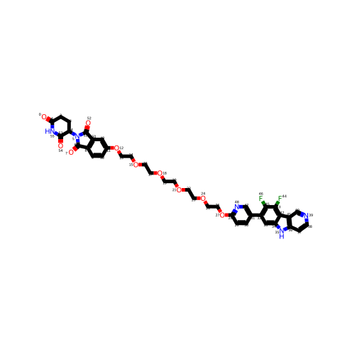 O=C1CCC(N2C(=O)c3ccc(OCCOCCOCCOCCOCCOc4ccc(-c5cc6[nH]c7ccncc7c6c(F)c5F)cn4)cc3C2=O)C(=O)N1